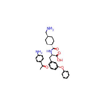 CC(=O)c1ccc(N)cc1.NC[C@H]1CC[C@H](C(=O)NC(Cc2cccc(Oc3ccccc3)c2)C(=O)O)CC1